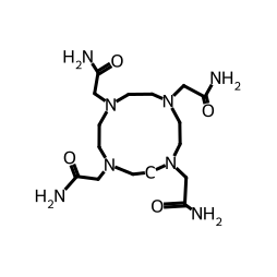 NC(=O)CN1CCN(CC(N)=O)CCN(CC(N)=O)CCN(CC(N)=O)CC1